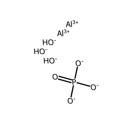 O=P([O-])([O-])[O-].[Al+3].[Al+3].[OH-].[OH-].[OH-]